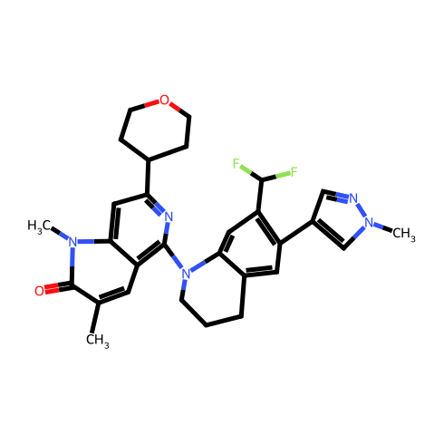 Cc1cc2c(N3CCCc4cc(-c5cnn(C)c5)c(C(F)F)cc43)nc(C3CCOCC3)cc2n(C)c1=O